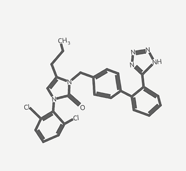 CCCc1cn(-c2c(Cl)cccc2Cl)c(=O)n1Cc1ccc(-c2ccccc2-c2nnn[nH]2)cc1